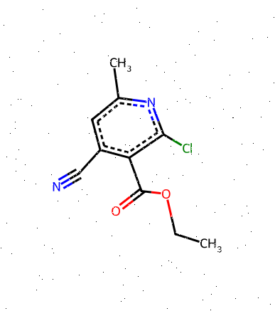 CCOC(=O)c1c(C#N)cc(C)nc1Cl